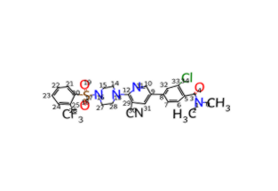 CN(C)C(=O)c1ccc(-c2cnc(N3CCN(S(=O)(=O)c4ccccc4C(F)(F)F)CC3)c(C#N)c2)cc1Cl